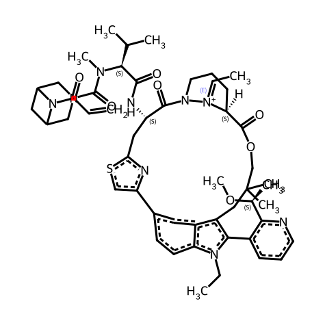 C=CC(=O)N1C2CC1CN(C(=O)N(C)[C@H](C(=O)N[C@H]1Cc3nc(cs3)-c3ccc4c(c3)c(c(-c3cccnc3[C@H](C)OC)n4CC)CC(C)(C)COC(=O)[C@@H]3CCCN(C1=O)/[N+]3=C/C)C(C)C)C2